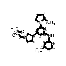 CC1CCCN1c1cc(C2CCN(CS(C)(=O)=O)C2)cc(Nc2cc(C(F)(F)F)ccn2)n1